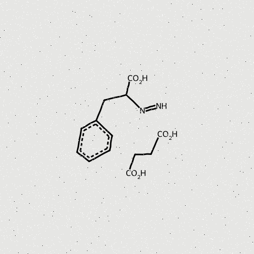 N=NC(Cc1ccccc1)C(=O)O.O=C(O)CCC(=O)O